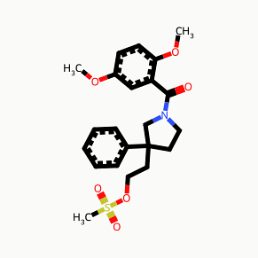 COc1ccc(OC)c(C(=O)N2CCC(CCOS(C)(=O)=O)(c3ccccc3)C2)c1